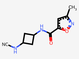 Cc1cc(C(=O)NC2CC(NC#N)C2)on1